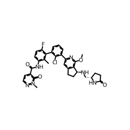 COc1nc(-c2cccc(-c3c(F)ccc(NC(=O)c4ccnn(C)c4=O)c3C)c2Cl)cc2c1[C@@H](NC[C@@H]1CCC(=O)N1)CC2